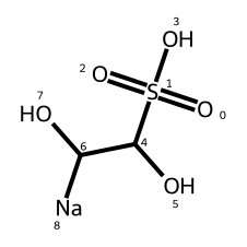 O=S(=O)(O)C(O)[CH](O)[Na]